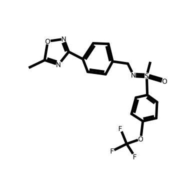 Cc1nc(-c2ccc(CN=S(C)(=O)c3ccc(OC(F)(F)F)cc3)cc2)no1